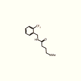 CNCCCC(=O)NCc1ccccc1C(F)(F)F